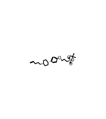 C=CCCC[C@H]1CC[C@H](c2ccc(OCCCS(=O)(=O)OC(C)(C)C)cc2)CC1